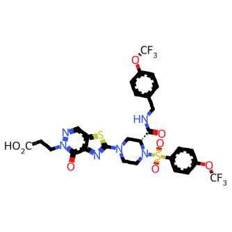 O=C(O)CCn1ncc2sc(N3CCN(S(=O)(=O)c4ccc(OC(F)(F)F)cc4)[C@@H](C(=O)NCc4ccc(OC(F)(F)F)cc4)C3)nc2c1=O